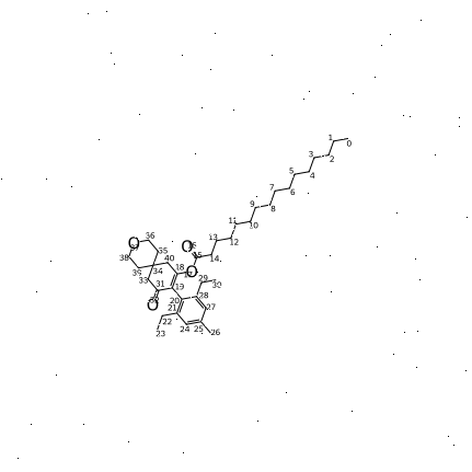 CCCCCCCCCCCCCCCC(=O)OC1=C(c2c(CC)cc(C)cc2CC)C(=O)CC2(CCOCC2)C1